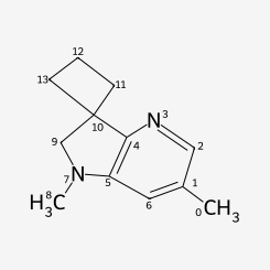 Cc1cnc2c(c1)N(C)CC21CCC1